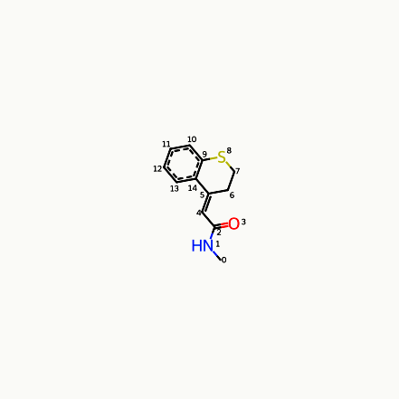 CNC(=O)C=C1CCSc2ccccc21